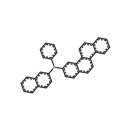 c1ccc(N(c2ccc3ccccc3c2)c2ccc3ccc4c5ccccc5ccc4c3c2)cc1